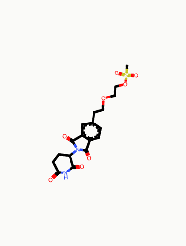 CS(=O)(=O)OCCOCCc1ccc2c(c1)C(=O)N(C1CCC(=O)NC1=O)C2=O